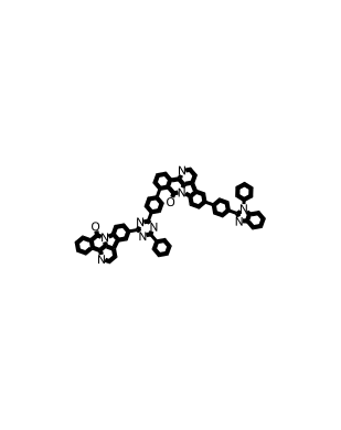 O=c1c2ccccc2c2nccc3c4cc(-c5nc(-c6ccccc6)nc(-c6ccc(-c7cccc8c7c(=O)n7c9ccc(-c%10ccc(-c%11nc%12ccccc%12n%11-c%11ccccc%11)cc%10)cc9c9ccnc8c97)cc6)n5)ccc4n1c32